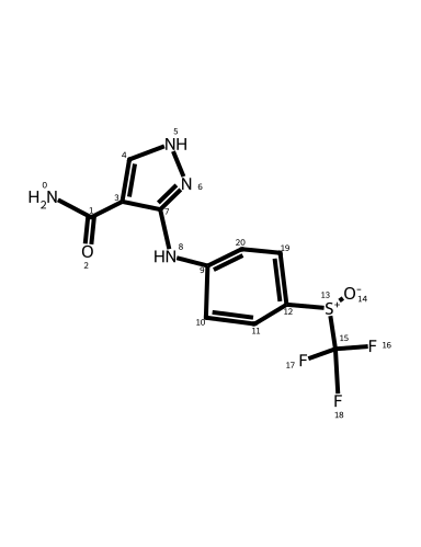 NC(=O)c1c[nH]nc1Nc1ccc([S+]([O-])C(F)(F)F)cc1